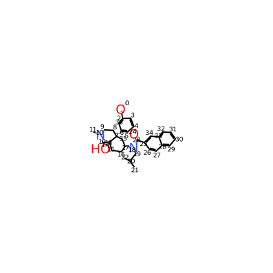 COc1cccc([C@@]23CCN(C)C[C@@]2(O)CC[C@H](N(CC(C)C)C(=O)c2ccc4ccccc4c2)C3)c1